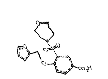 O=C(O)c1ccc(OCc2ccco2)c(S(=O)(=O)N2CCOCC2)c1